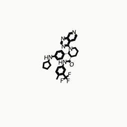 Cc1ccc(NC(=O)[C@H]2CCCN(c3ncnc4cnccc34)[C@H]2c2ccc(NC3CCCC3)cc2)cc1C(F)(F)F